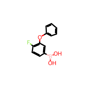 OB(O)c1ccc(F)c(Oc2ccccc2)c1